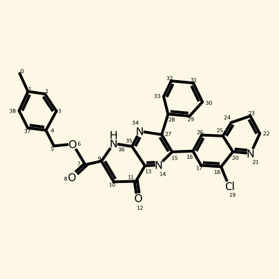 Cc1ccc(COC(=O)c2cc(=O)c3nc(-c4cc(Cl)c5ncccc5c4)c(-c4ccccc4)nc3[nH]2)cc1